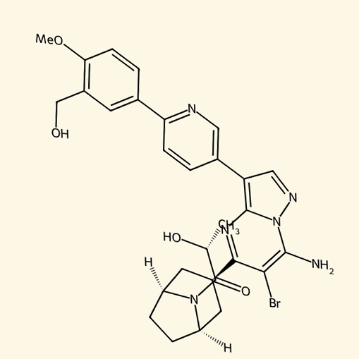 COc1ccc(-c2ccc(-c3cnn4c(N)c(Br)c([C@H]5C[C@H]6CC[C@@H](C5)N6C(=O)[C@@H](C)O)nc34)cn2)cc1CO